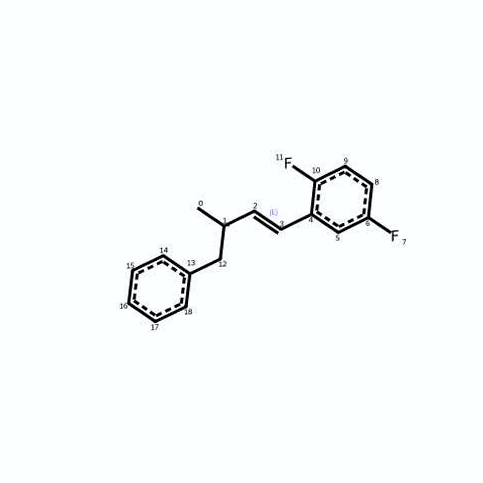 C[C](/C=C/c1cc(F)ccc1F)Cc1ccccc1